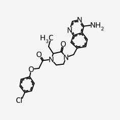 CCC1C(=O)N(Cc2ccc3c(N)ncnc3c2)CCN1C(=O)COc1ccc(Cl)cc1